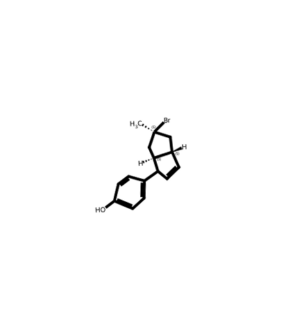 C[C@@]1(Br)C[C@@H]2C(c3ccc(O)cc3)C=C[C@H]2C1